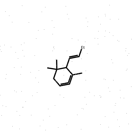 CCC=CC1C(C)=C=CCC1(C)C